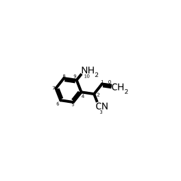 C=CC(C#N)c1ccccc1N